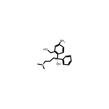 Bc1ccc([C@](O)(CCCN(C)C)c2ccccc2)c(CO)c1